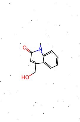 Cn1c(=O)cc(CO)c2ccccc21